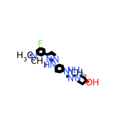 C=C(/N=C\N(N)c1ccc(Nc2nccc(-c3cc(F)cc(N(C)C)c3)n2)cc1)N1CCC(O)CC1